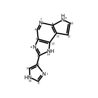 c1nc(-c2nc3cnc4[nH]ccc4c3[nH]2)c[nH]1